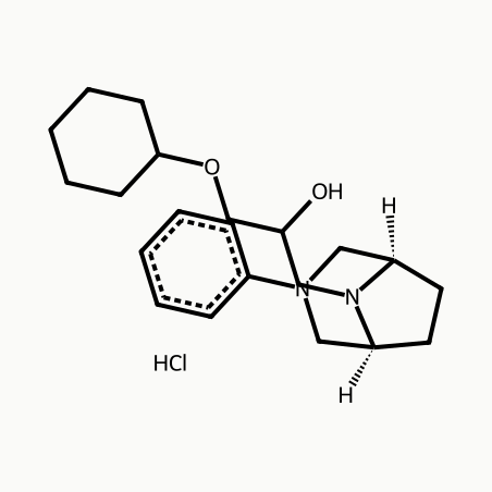 Cl.OC(COC1CCCCC1)CN1[C@@H]2CC[C@H]1CN(c1ccccc1)C2